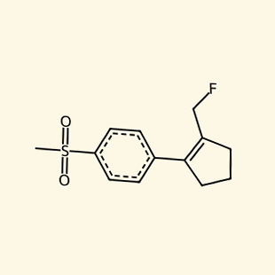 CS(=O)(=O)c1ccc(C2=C(CF)CCC2)cc1